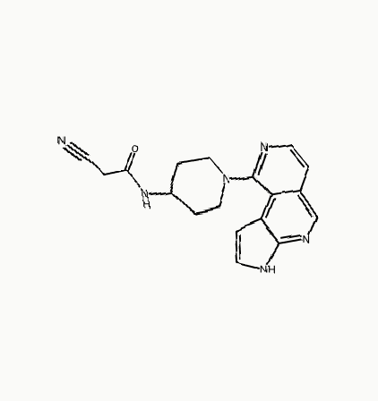 N#CCC(=O)NC1CCN(c2nccc3cnc4[nH]ccc4c23)CC1